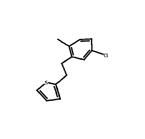 Cc1ccc(Cl)cc1CCc1cccs1